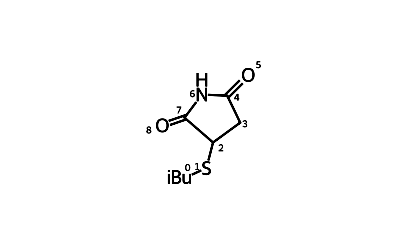 CCC(C)SC1CC(=O)NC1=O